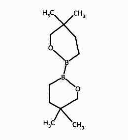 CC1(C)CCB(B2CCC(C)(C)CO2)OC1